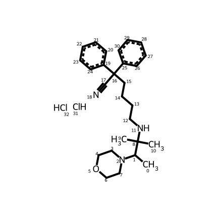 CC(N1CCOCC1)C(C)(C)NCCCCC(C#N)(c1ccccc1)c1ccccc1.Cl.Cl